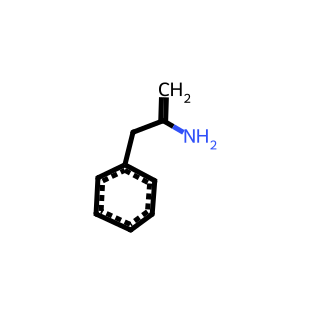 C=C(N)Cc1ccccc1